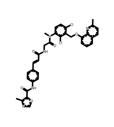 Cc1ccc2cccc(OCc3c(Cl)ccc(N(C)C(=O)CNC(=O)/C=C/c4ccc(NC(=O)c5ocnc5C)cc4)c3Cl)c2n1